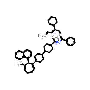 C=C/C=C(/C=C=C(/N=C(\C)C1=CCC(C2=CC=C(C3=CC=CC=C(C)C3c3cccc4ccccc34)CC2)CC1)c1ccccc1)C1=CC=CCC1